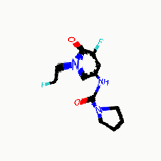 O=C(Nc1cc(F)c(=O)n(CCF)c1)N1CCCC1